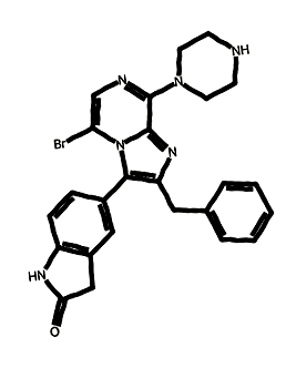 O=C1Cc2cc(-c3c(Cc4ccccc4)nc4c(N5CCNCC5)ncc(Br)n34)ccc2N1